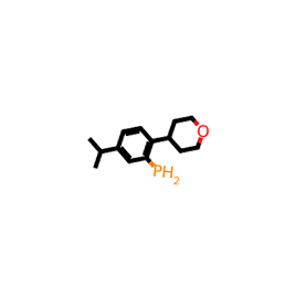 CC(C)c1ccc(C2CCOCC2)c(P)c1